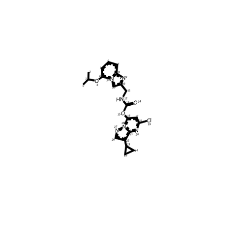 CC(C)Oc1cccc2nc(CNC(=O)Oc3cc(Cl)nc4c(C5CC5)cnn34)cn12